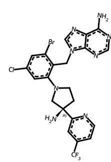 Nc1ncnc2c1ncn2Cc1c(Br)cc(Cl)cc1N1CC[C@](N)(c2cc(C(F)(F)F)ccn2)C1